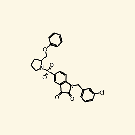 O=C1C(=O)N(Cc2cccc(Cl)c2)c2ccc(S(=O)(=O)N3CCC[C@H]3COc3ccccc3)cc21